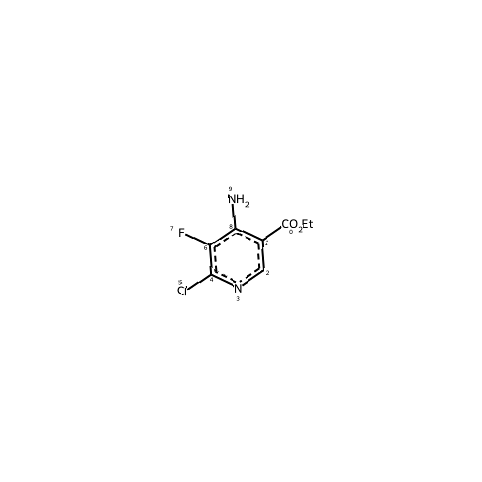 CCOC(=O)c1cnc(Cl)c(F)c1N